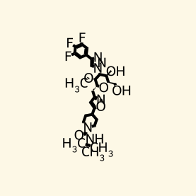 CO[C@@H]1[C@@H](n2cc(-c3cc(F)c(F)c(F)c3)nn2)[C@@H](O)[C@@H](CO)O[C@@H]1Cc1cc(C2CCN(C(=O)NC(C)(C)C)CC2)on1